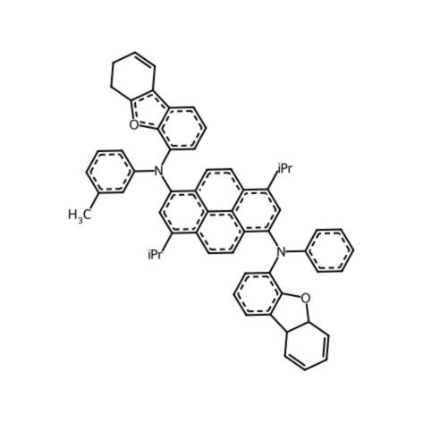 Cc1cccc(N(c2cc(C(C)C)c3ccc4c(N(c5ccccc5)c5cccc6c5OC5C=CC=CC65)cc(C(C)C)c5ccc2c3c54)c2cccc3c4c(oc23)CCC=C4)c1